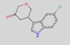 O=C1COCC(c2c[nH]c3ccc(Cl)cc23)C1